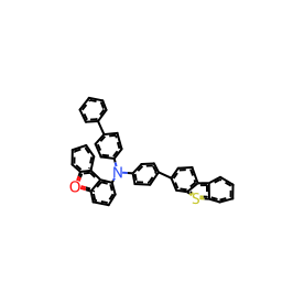 c1ccc(-c2ccc(N(c3ccc(-c4ccc5c(c4)sc4ccccc45)cc3)c3cccc4oc5ccccc5c34)cc2)cc1